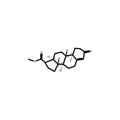 COC(=O)C1CC[C@H]2[C@@H]3CCC4=CC(=O)CC[C@]4(C)[C@H]3CC[C@]12C